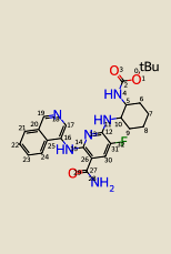 CC(C)(C)OC(=O)NC1CCCCC1Nc1nc(Nc2cncc3ccccc23)c(C(N)=O)cc1F